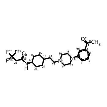 CC(=O)c1cccc(N2CCN(CCC3CCC(NC(=O)CC(F)(F)F)CC3)CC2)c1